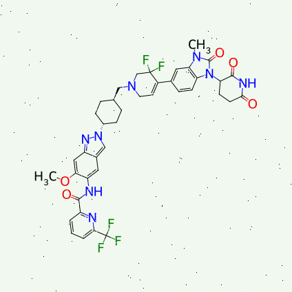 COc1cc2nn([C@H]3CC[C@H](CN4CC=C(c5ccc6c(c5)n(C)c(=O)n6C5CCC(=O)NC5=O)C(F)(F)C4)CC3)cc2cc1NC(=O)c1cccc(C(F)(F)F)n1